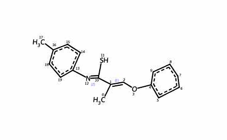 CC(=C\Oc1ccccc1)/C(S)=N/c1ccc(C)cc1